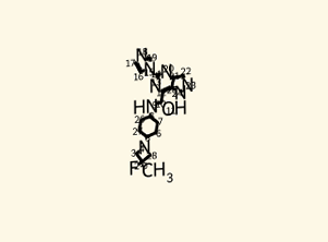 CC1(F)CN([C@H]2CC[C@H](NC(=O)c3nc(-n4ccnc4)nc4cn[nH]c34)CC2)C1